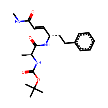 CNC(=O)/C=C/[C@H](CCc1ccccc1)NC(=O)[C@H](C)NC(=O)OC(C)(C)C